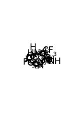 O=C(Nc1ccc(F)c(Oc2ccc3ncc(CN4CCNCC4)nc3c2)c1)Nc1ccc(F)c(C(F)(F)F)c1